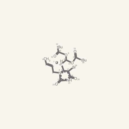 CC=CCn1c([PH](=O)C(OC(=O)C(C)(C)C)OC(=O)C(C)(C)C)c(Br)c(=O)[nH]c1=O